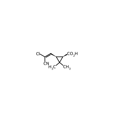 CC1(C)[C@H](C(=O)O)[C@@H]1/C=C(/Cl)C#N